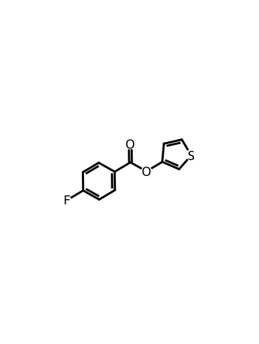 O=C(Oc1ccsc1)c1ccc(F)cc1